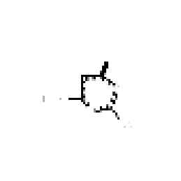 CSc1nc(C(=O)O)cc(=O)[nH]1